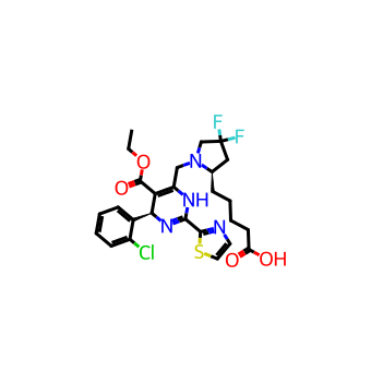 CCOC(=O)C1=C(CN2CC(F)(F)C[C@H]2CCCCC(=O)O)NC(c2nccs2)=N[C@H]1c1ccccc1Cl